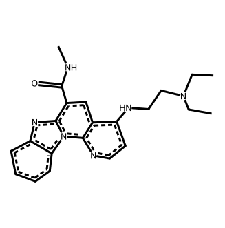 CCN(CC)CCNc1ccnc2c1cc(C(=O)NC)c1nc3ccccc3n12